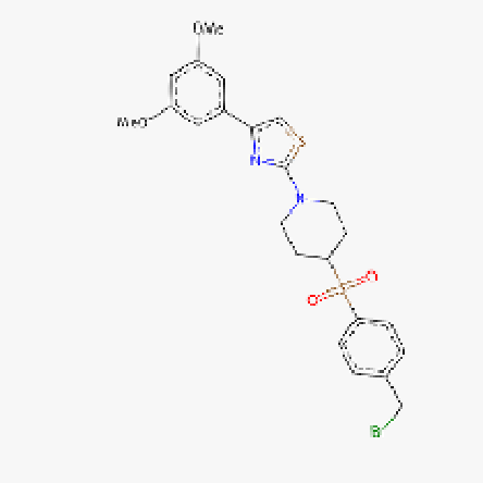 COc1cc(OC)cc(-c2csc(N3CCC(S(=O)(=O)c4ccc(CBr)cc4)CC3)n2)c1